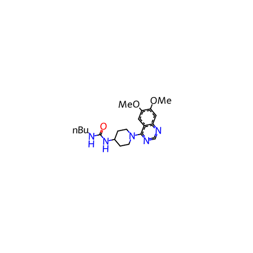 CCCCNC(=O)NC1CCN(c2ncnc3cc(OC)c(OC)cc23)CC1